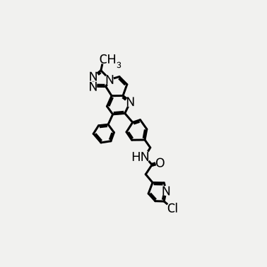 Cc1nnc2c3cc(-c4ccccc4)c(-c4ccc(CNC(=O)Cc5ccc(Cl)nc5)cc4)nc3ccn12